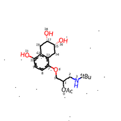 CC(=O)OC(CNC(C)(C)C)COc1ccc(O)c2c1C[C@@H](O)[C@@H](O)C2